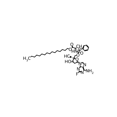 C#C[C@]1(COP(=O)(N[C@@H](C)C(=O)OCCCCCCCCCCCCCCCC)Oc2ccccc2)O[C@@H](n2cnc3c(N)nc(F)nc32)C[C@@H]1O